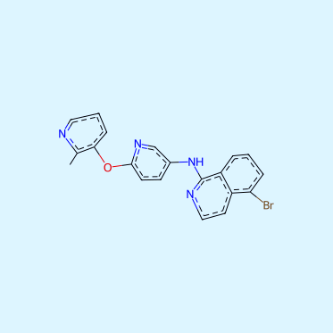 Cc1ncccc1Oc1ccc(Nc2nccc3c(Br)cccc23)cn1